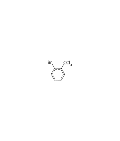 ClC(Cl)(Cl)c1ccccc1Br